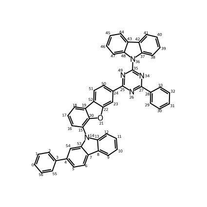 c1ccc(-c2ccc3c4ccccc4n(-c4cccc5c4oc4cc(-c6nc(-c7ccccc7)nc(-n7c8ccccc8c8ccccc87)n6)ccc45)c3c2)cc1